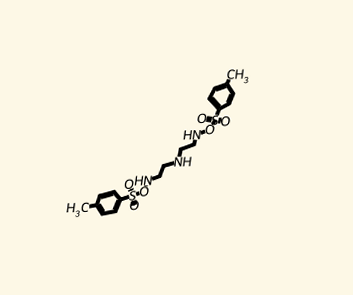 Cc1ccc(S(=O)(=O)ONCCNCCNOS(=O)(=O)c2ccc(C)cc2)cc1